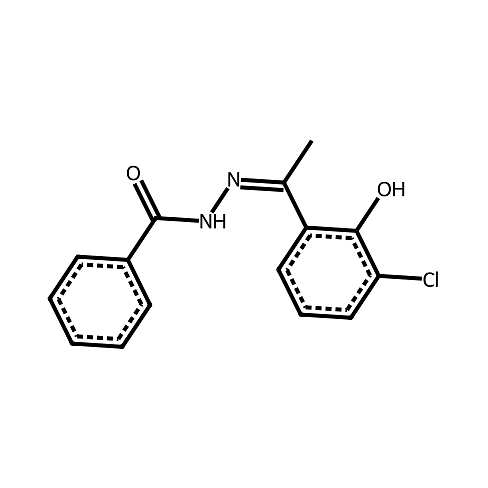 CC(=NNC(=O)c1ccccc1)c1cccc(Cl)c1O